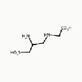 NC(CNCC(=O)O)CS(=O)(=O)O